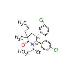 C=CCC1(C)C[C@H](c2cccc(Cl)c2)[C@@H](c2ccc(Cl)cc2)N(C(CC)C(=O)O)C1=O